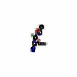 COC(=O)[C@H]1CC(n2cnnc2)CCN1c1ccc(CN2[C@@H](C)CCC(c3ccccc3)S2(=O)=O)c(F)c1